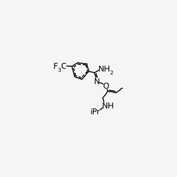 C/C=C(/CNC(C)C)O/N=C(\N)c1ccc(C(F)(F)F)cc1